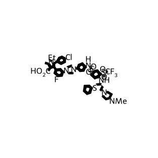 CCn1c(C)c(C(=O)O)c(-c2cc(F)cc(N3CCN(c4ccc(NS(=O)(=O)c5ccc(N[C@H](CCN6CCC(NC)CC6)CSc6ccccc6)c(S(=O)(=O)C(F)(F)F)c5)cc4)CC3)c2)c1-c1ccc(Cl)cc1